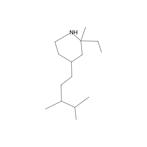 CCC1(C)CC(CCC(C)C(C)C)CCN1